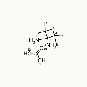 CC1(C)CC(C)(C)C1(N)N.O=C(O)O